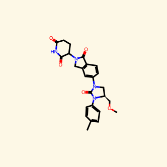 COC[C@@H]1CN(c2ccc3c(c2)CN(C2CCC(=O)NC2=O)C3=O)C(=O)N1c1ccc(C)cc1